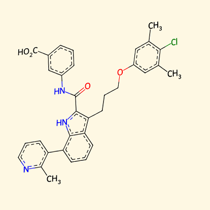 Cc1cc(OCCCc2c(C(=O)Nc3cccc(C(=O)O)c3)[nH]c3c(-c4cccnc4C)cccc23)cc(C)c1Cl